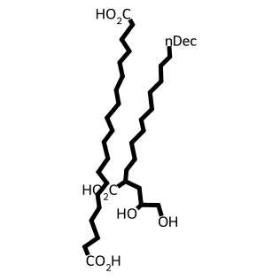 CCCCCCCCCCCCCCCCCCCCC(CC(O)CO)C(=O)O.O=C(O)CCCCCCCCCCCCCCCCCCC(=O)O